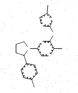 Cc1ccc(C2CCCN2c2cnc(C)c(Nc3ncc(C)s3)n2)cc1